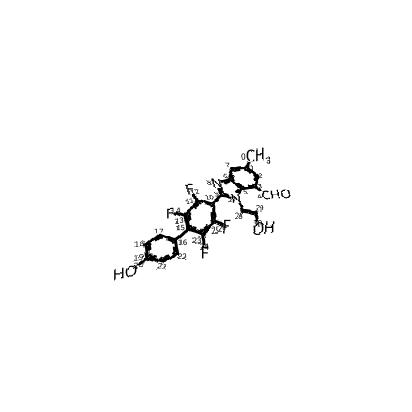 Cc1cc(C=O)c2c(c1)nc(-c1c(F)c(F)c(-c3ccc(O)cc3)c(F)c1F)n2CCO